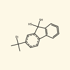 CCC(C)(C)c1ccc2c(c1)C(S)(S)C1=C2C=C=C=C1